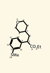 CCOC(=O)C(CC1CCOCC1)c1cccc(SC)c1